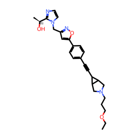 CCOCCCN1CC2C(C#Cc3ccc(-c4cc(Cn5ccnc5[C@H](C)O)no4)cc3)C2C1